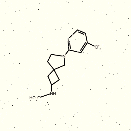 O=C(O)NC1CC2(CCN(c3cc(C(F)(F)F)ccn3)C2)C1